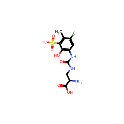 Cc1c(Cl)cc(NC(=O)NCC(N)C(=O)O)c(O)c1S(=O)(=O)O